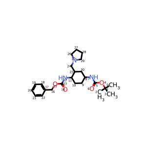 CC(C)(C)OC(=O)NC1CCC(NC(=O)OCc2ccccc2)C(CN2CCCC2)C1